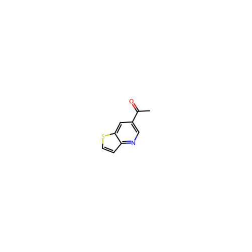 CC(=O)c1cnc2ccsc2c1